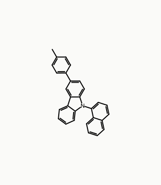 Cc1ccc(-c2ccc3c(c2)c2ccccc2n3-c2cccc3ccccc23)cc1